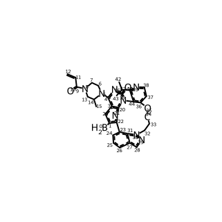 Bc1cc2c(N3CCN(C(=O)C=C)CC3C)nc(=O)n3c2nc1-c1cccc2cnn(c12)CCCOc1ccnc(C(C)C)c1-3